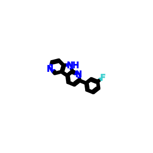 Fc1cccc(-c2ccc3c(n2)[nH]c2ccncc23)c1